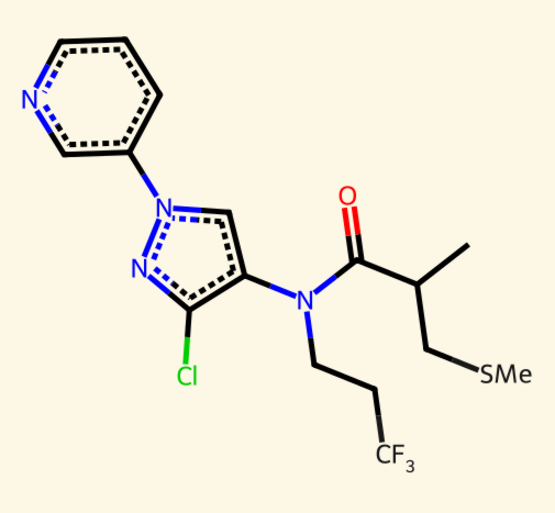 CSCC(C)C(=O)N(CCC(F)(F)F)c1cn(-c2cccnc2)nc1Cl